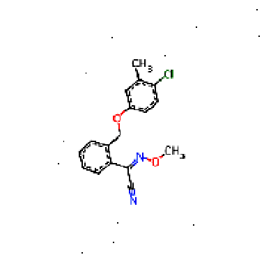 CON=C(C#N)c1ccccc1COc1ccc(Cl)c(C)c1